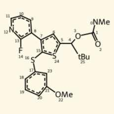 CNC(=O)OC(c1cc(-c2cccnc2F)c(Sc2cccc(OC)c2)s1)C(C)(C)C